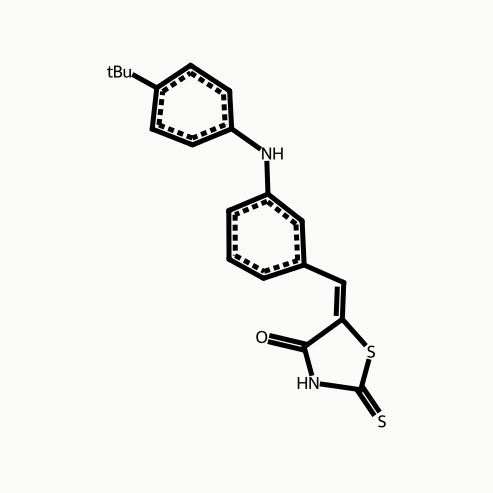 CC(C)(C)c1ccc(Nc2cccc(C=C3SC(=S)NC3=O)c2)cc1